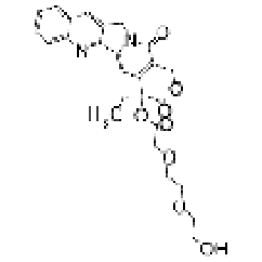 CC[C@@]1(OC(=O)COCCOCCO)C(=O)OCc2c1cc1n(c2=O)Cc2cc3ccccc3nc2-1